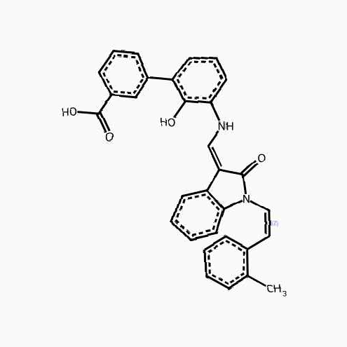 Cc1ccccc1/C=C\N1C(=O)C(=CNc2cccc(-c3cccc(C(=O)O)c3)c2O)c2ccccc21